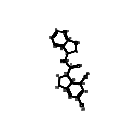 O=C(NC1COc2ncccc21)C1CCc2cc(Cl)cc(Cl)c21